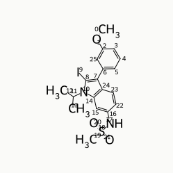 COc1cccc(-c2c(I)n(C(C)C)c3cc(NS(C)(=O)=O)ccc23)c1